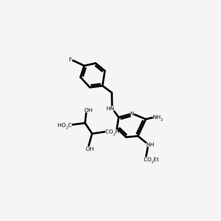 CCOC(=O)Nc1ccc(NCc2ccc(F)cc2)nc1N.O=C(O)C(O)C(O)C(=O)O